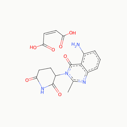 Cc1nc2cccc(N)c2c(=O)n1C1CCC(=O)NC1=O.O=C(O)/C=C\C(=O)O